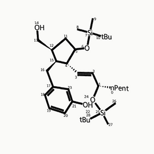 CCCCC[C@@H](/C=C/[C@H]1C(O[Si](C)(C)C(C)(C)C)C[C@H](CO)[C@@H]1Cc1cccc(O)c1)O[Si](C)(C)C(C)(C)C